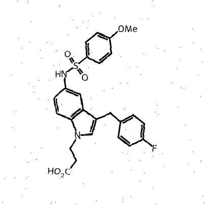 COc1ccc(S(=O)(=O)Nc2ccc3c(c2)c(Cc2ccc(F)cc2)cn3CCC(=O)O)cc1